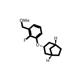 COCc1cccc(O[C@@H]2C[C@@H]3CC[C@@H](C3)C2)c1F